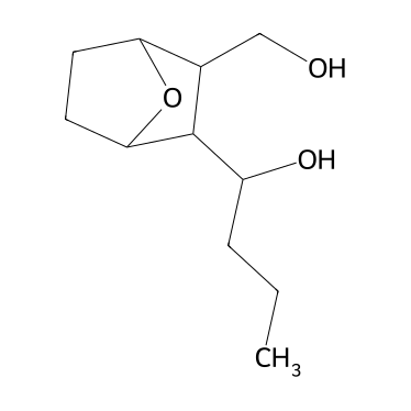 CCCC(O)C1C2CCC(O2)C1CO